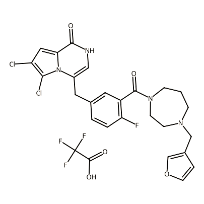 O=C(O)C(F)(F)F.O=C(c1cc(Cc2c[nH]c(=O)c3cc(Cl)c(Cl)n23)ccc1F)N1CCCN(Cc2ccoc2)CC1